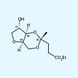 CCOC(=O)CC[C@]1(C)OC[C@H]2OC[C@H](O)[C@H]2O1